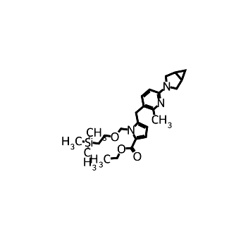 CCOC(=O)c1ccc(Cc2ccc(N3CC4CC4C3)nc2C)n1COCC[Si](C)(C)C